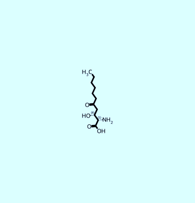 CCCCCCC(=O)C[C@@H](O)[C@H](N)C(=O)O